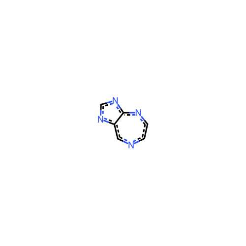 c1cnc2ncnc-2cn1